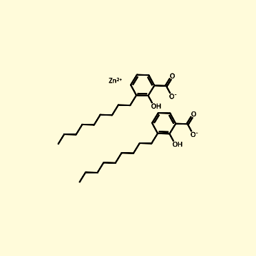 CCCCCCCCCc1cccc(C(=O)[O-])c1O.CCCCCCCCCc1cccc(C(=O)[O-])c1O.[Zn+2]